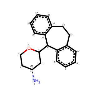 N[C@@H]1CCOC(C2c3ccccc3CCc3ccccc32)C1